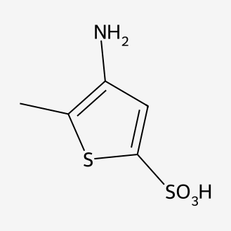 Cc1sc(S(=O)(=O)O)cc1N